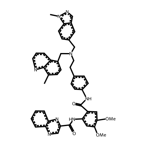 COc1cc(NC(=O)c2cnc3ccccc3n2)c(C(=O)Nc2ccc(CCN(Cc3ccc4c(cnn4C)c3)Cc3ccc(C)c4ncccc34)cc2)cc1OC